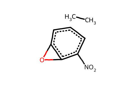 CC.O=[N+]([O-])c1cccc2c1O2